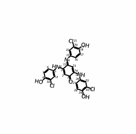 O=C1C=C(Nc2ccc(O)c(Cl)c2)/C(=N/c2ccc(O)c(Cl)c2)C=C1Nc1ccc(O)c(Cl)c1